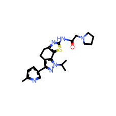 Cc1ccc(-c2nn(C(C)C)c3c2CCc2nc(NC(=O)CN4CCCC4)sc2-3)cn1